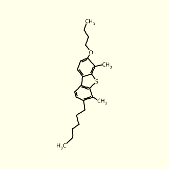 CCCCCCc1ccc2c(sc3c(C)c(OCCCC)ccc32)c1C